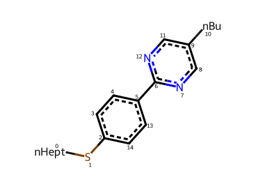 CCCCCCCSc1ccc(-c2ncc(CCCC)cn2)cc1